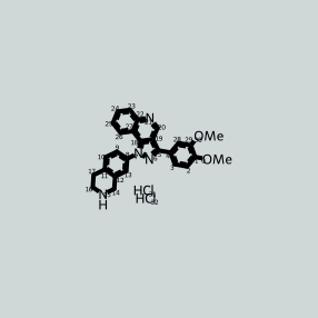 COc1ccc(-c2nn(-c3ccc4c(c3)CNCC4)c3c2cnc2ccccc23)cc1OC.Cl.Cl